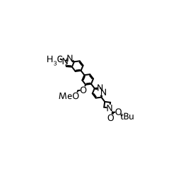 COCOc1cc(-c2ccc3nn(C)cc3c2)ccc1-c1ccc(C2CN(C(=O)OC(C)(C)C)C2)nn1